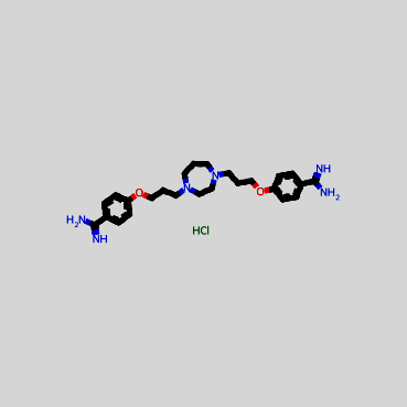 Cl.N=C(N)c1ccc(OCCCN2CCCN(CCCOc3ccc(C(=N)N)cc3)CC2)cc1